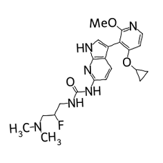 COc1nccc(OC2CC2)c1-c1c[nH]c2nc(NC(=O)NCC(F)CN(C)C)ccc12